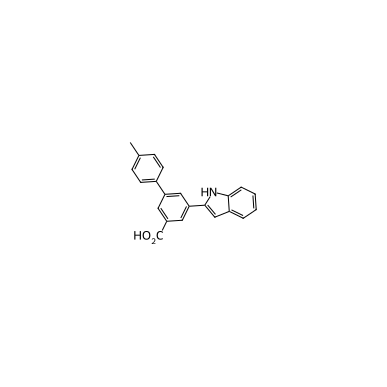 Cc1ccc(-c2cc(C(=O)O)cc(-c3cc4ccccc4[nH]3)c2)cc1